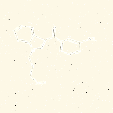 O=C(O)CCCn1cc(C(=O)c2cccc([N+](=O)[O-])c2)c2ccccc21